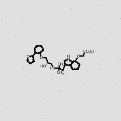 CCOC(=O)COc1cccc2c(CC(C)(C)NC[C@H](O)COc3ccccc3-c3ccco3)c[nH]c12